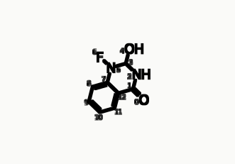 O=C1NC(O)N(F)c2ccccc21